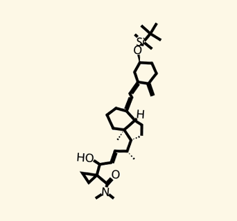 C=C1CC[C@H](O[Si](C)(C)C(C)(C)C)C/C1=C/C=C1\CCC[C@]2(C)[C@@H]([C@H](C)/C=C/C(O)C3(C(=O)N(C)C)CC3)CC[C@@H]12